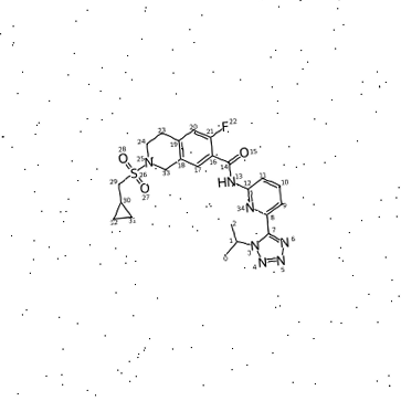 CC(C)n1nnnc1-c1cccc(NC(=O)c2cc3c(cc2F)CCN(S(=O)(=O)CC2CC2)C3)n1